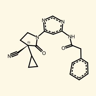 N#C[C@@]1(C2CC2)CCN(c2cc(NC(=O)Cc3ccccc3)ncn2)C1=O